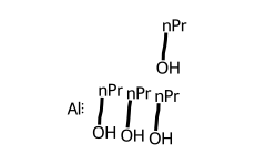 CCCO.CCCO.CCCO.CCCO.[Al]